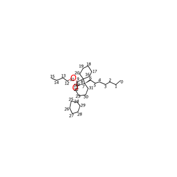 CCCCCCC[C@]1(C2(C(=O)OCCCC)CCCCC2)CC[C@@H](C2CCCCC2)CC1